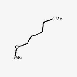 C[CH]CCOCCCCOC